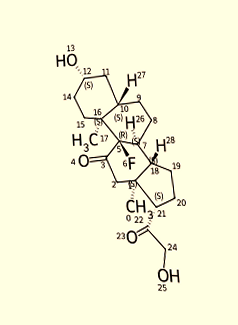 C[C@]12CC(=O)[C@@]3(F)[C@@H](CC[C@H]4C[C@@H](O)CC[C@@]43C)[C@@H]1CC[C@@H]2C(=O)CO